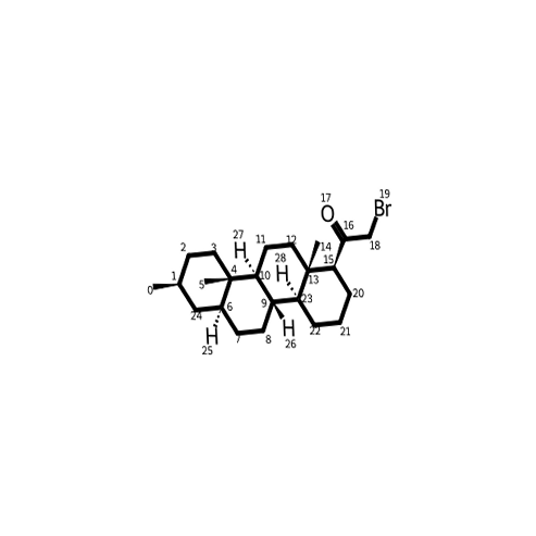 C[C@H]1CC[C@@]2(C)[C@@H](CC[C@@H]3[C@@H]2CC[C@]2(C)[C@@H](C(=O)CBr)CCC[C@@H]32)C1